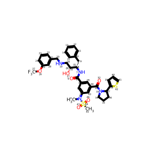 CN(c1cc(C(=O)N[C@@H](Cc2ccccc2)[C@H](O)CNCc2cccc(OC(F)(F)F)c2)cc(C(=O)N2CCCC2c2cccs2)c1)S(C)(=O)=O